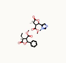 CC[C@@H]1C(=O)OC(c2ccccc2)C1C(=O)OC.COC(=O)C1C(c2cncn2C)OC(=O)[C@H]1C